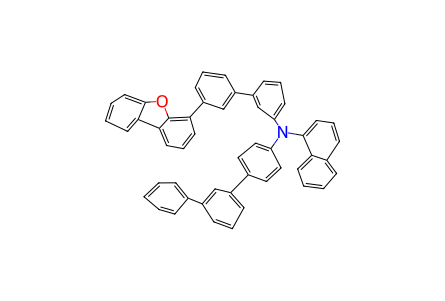 c1ccc(-c2cccc(-c3ccc(N(c4cccc(-c5cccc(-c6cccc7c6oc6ccccc67)c5)c4)c4cccc5ccccc45)cc3)c2)cc1